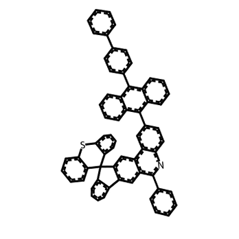 c1ccc(-c2ccc(-c3c4ccccc4c(-c4ccc5nc(-c6ccccc6)c6cc7c(cc6c5c4)C4(c5ccccc5Sc5ccccc54)c4ccccc4-7)c4ccccc34)cc2)cc1